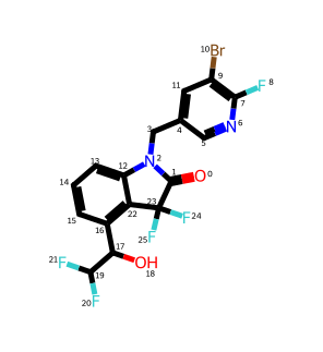 O=C1N(Cc2cnc(F)c(Br)c2)c2cccc(C(O)C(F)F)c2C1(F)F